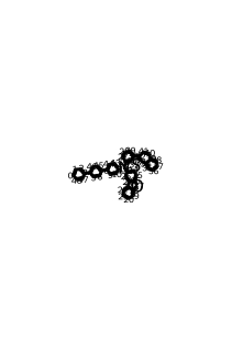 c1ccc(-c2ccc(-c3ccc(N(c4ccc5oc6ccccc6c5c4)c4cccc5c4sc4c6ccccc6ccc54)cc3)cc2)cc1